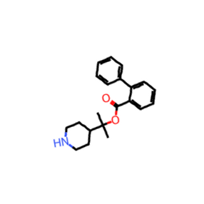 CC(C)(OC(=O)c1ccccc1-c1ccccc1)C1CCNCC1